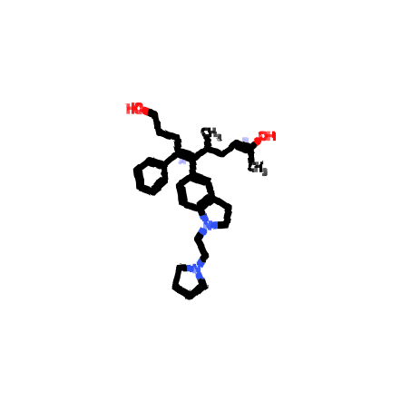 C/C(O)=C\CC(C)/C(=C(\CCCO)c1ccccc1)c1ccc2c(c1)CCN2CCN1CCCC1